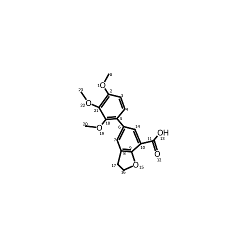 COc1ccc(-c2cc3c(c(C(=O)O)c2)OCC3)c(OC)c1OC